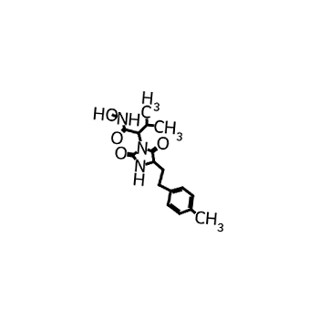 Cc1ccc(CCC2NC(=O)N(C(C(=O)NO)C(C)C)C2=O)cc1